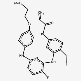 C=CC(=O)Nc1ccc(CI)c(Nc2nc(Nc3ccc(OCCOC)cc3)ncc2F)c1